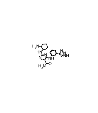 NC(=O)c1cnc(NC2CCCC[C@@H]2N)nc1Nc1cccc(-c2nn[nH]n2)c1